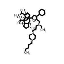 CCCCCN1CCN(CCCN(CC)CC2OC(C34C[C@@H]5[C@H](C)CC[C@H]5C5(C=O)CC3C=C(C(C)C)[C@@]45C)CC2C2CCCCC2)CC1